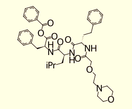 CC(C)C[C@H](NC(=O)[C@H](CCc1ccccc1)NC(=O)COCCN1CCOCC1)C(=O)N[C@@H](Cc1ccccc1)C(=O)OC(=O)c1ccccc1